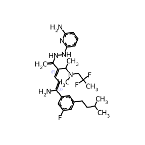 C=C(NNc1cccc(N)n1)/C(=C/C=C(\N)c1cc(F)cc(CCC(C)C)c1)C(C)N(C)CC(C)(F)F